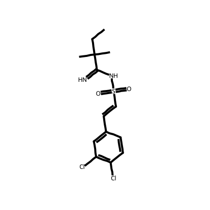 CCC(C)(C)C(=N)NS(=O)(=O)/C=C/c1ccc(Cl)c(Cl)c1